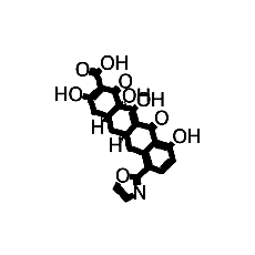 O=C(O)C1=C(O)C[C@@H]2C[C@@H]3Cc4c(-c5ncco5)ccc(O)c4C(=O)C3=C(O)[C@]2(O)C1=O